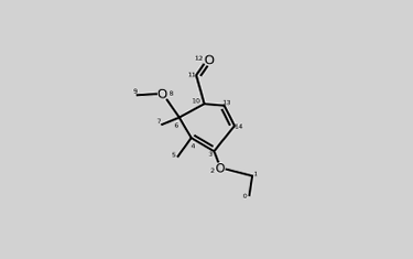 CCOC1=C(C)C(C)(OC)C(C=O)C=C1